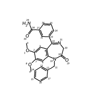 COc1cc2c(cc1OC)N(Cc1ccccc1)C(=O)CN=C2c1cccc(C(N)=O)c1